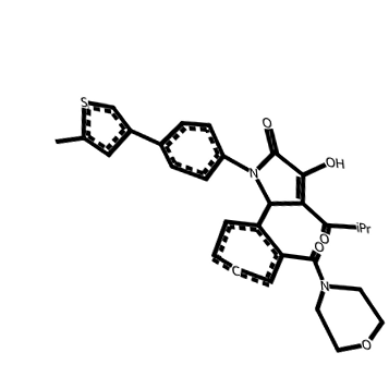 Cc1cc(-c2ccc(N3C(=O)C(O)=C(C(=O)C(C)C)C3c3ccccc3C(=O)N3CCOCC3)cc2)cs1